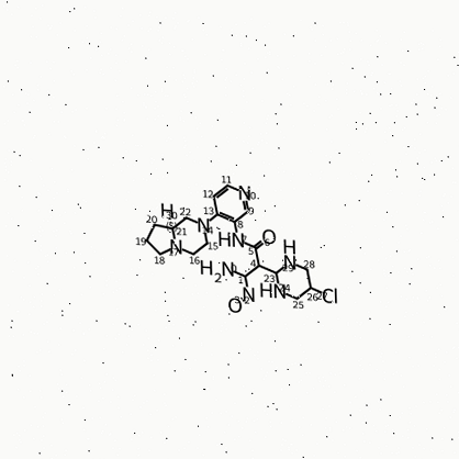 NC(N=O)C(C(=O)Nc1cnccc1N1CCN2CCC[C@H]2C1)C1NCC(Cl)CN1